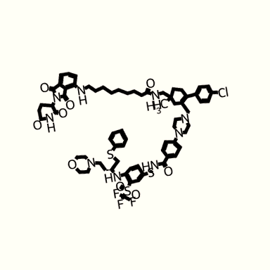 CC1(CNC(=O)CCCCCCCCNc2cccc3c2C(=O)N(C2CCC(=O)NC2=O)C3=O)CCC(c2ccc(Cl)cc2)=C(CN2CCN(c3ccc(C(=O)NSc4ccc(N[C@H](CCN5CCOCC5)CSc5ccccc5)c(S(=O)(=O)C(F)(F)F)c4)cc3)CC2)C1